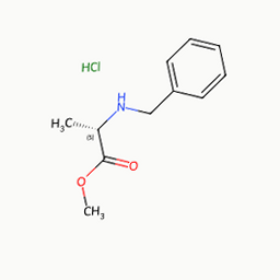 COC(=O)[C@H](C)NCc1ccccc1.Cl